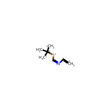 C=C/N=C\SC(C)(C)C